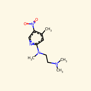 Cc1cc(N(C)CCN(C)C)ncc1[N+](=O)[O-]